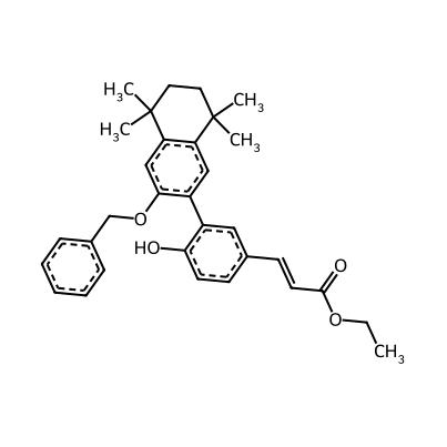 CCOC(=O)C=Cc1ccc(O)c(-c2cc3c(cc2OCc2ccccc2)C(C)(C)CCC3(C)C)c1